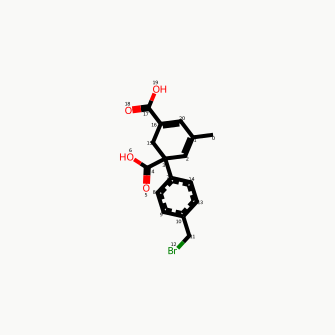 CC1=CC(C(=O)O)(c2ccc(CBr)cc2)CC(C(=O)O)=C1